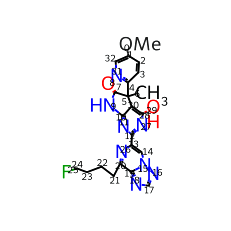 COc1ccc(C2(C)C(=O)Nc3nc(-c4cn5ncnc5c(CCCCF)n4)nc(O)c32)nc1